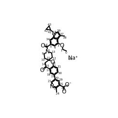 CCOc1cc(C(=O)N2CCC3(CC2)CC(=O)c2cc(-c4cnc(C)c(C(=O)[O-])c4)ccc2O3)cc2c1c(C)cn2C1CC1.[Na+]